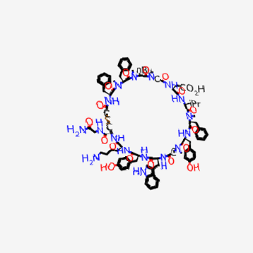 CCCC[C@H]1C(=O)N(C)CC(=O)N[C@@H](CC(=O)O)C(=O)N[C@@H](C(C)C)C(=O)N(C)[C@@H](Cc2ccccc2)C(=O)N[C@@H](Cc2ccc(O)cc2)C(=O)N(C)CC(=O)N[C@@H](Cc2c[nH]c3ccccc23)C(=O)N[C@@H](Cc2ccc(O)cc2)C(=O)N[C@@H](CCCCN)C(=O)N[C@H](C(=O)NCC(N)=O)CSCC(=O)N[C@@H](Cc2ccccc2)C(=O)N(C)[C@@H](Cc2ccccc2)C(=O)N1C